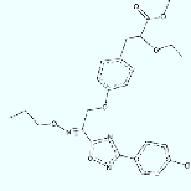 CCCO/N=C(\COc1ccc(CC(OCC)C(=O)OCC)cc1)c1nc(-c2ccc(Cl)cc2)no1